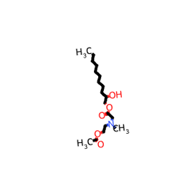 CCCCCCCCCC(O)COC(=O)CN(C)CCOC(C)=O